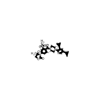 CC1(C)COC(=O)N1c1ccc(C(=O)N2CCN(c3ncc(C4CC4)cc3C3CC3)CC2)c(S(C)(=O)=O)c1